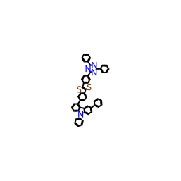 c1ccc(-c2ccc3c(c2)c2c(-c4ccc5c(c4)sc4c6ccc(-c7nc(-c8ccccc8)nc(-c8ccccc8)n7)cc6sc54)cccc2n3-c2ccccc2)cc1